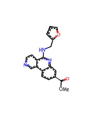 COC(=O)c1ccc2c(c1)nc(NCc1ccco1)c1ccncc12